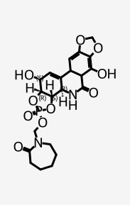 O=C1N[C@@H]2C(=C[C@H](O)[C@H]3OP(=O)(OCN4CCCCCC4=O)O[C@H]32)C2C=C3OCOC3=C(O)C12